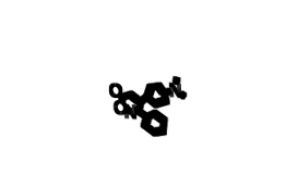 CN(C)c1ccc(-c2cc(=O)onc2-c2ccccc2)cc1